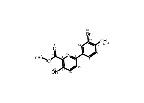 CCCCOC(=O)c1nc(-c2ccc(C)c(Br)c2)ccc1N=O